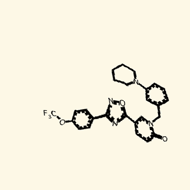 O=c1ccc(-c2nc(-c3ccc(OC(F)(F)F)cc3)no2)cn1Cc1cccc(N2CCCCC2)c1